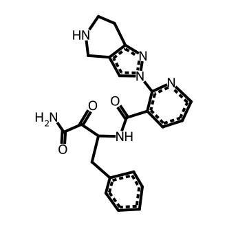 NC(=O)C(=O)C(Cc1ccccc1)NC(=O)c1cccnc1-n1cc2c(n1)CCNC2